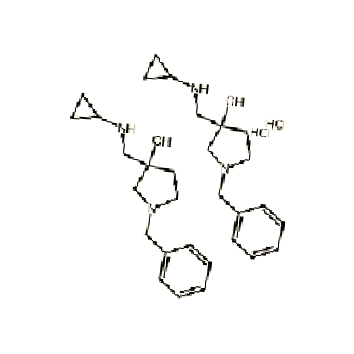 Cl.Cl.OC1(CNC2CC2)CCN(Cc2ccccc2)C1.OC1(CNC2CC2)CCN(Cc2ccccc2)C1